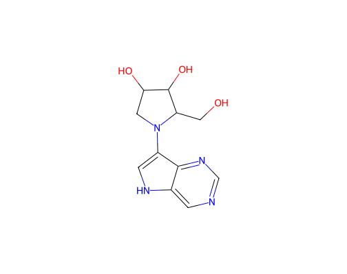 OCC1C(O)C(O)CN1c1c[nH]c2cncnc12